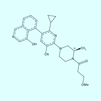 COCCC(=O)N1CCN(c2nc(C3CC3)c(-c3cccc4cncc(O)c34)cc2C#N)C[C@H]1C